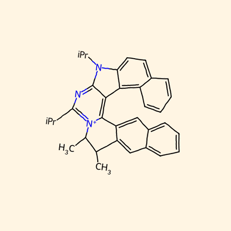 CC(C)c1nc2c(c3[n+]1C(C)C(C)c1cc4ccccc4cc1-3)c1c3ccccc3ccc1n2C(C)C